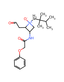 CC(C)C(C)(C)[SiH2][N+]1([O-])CC(NC(=O)COc2ccccc2)C1CC=O